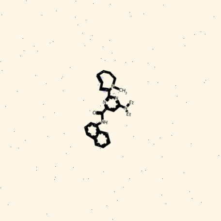 CCN(CC)c1cc(C(=O)Nc2cccc3ccccc23)nc(/C2=C/C=C/CCCN2C)n1